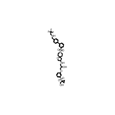 O=S(=O)(c1cccc(-c2ccc(CNCC(F)(F)F)cc2)c1)N1CCC2(CC1)CC(NCC(O)COc1cccc(S(=O)(=O)C3(CO)CC3)c1)CO2